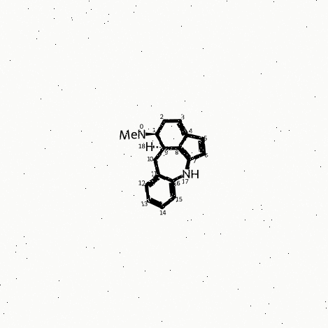 CN[C@H]1CC=C2C=CC3=C2[C@H]1Cc1ccccc1N3